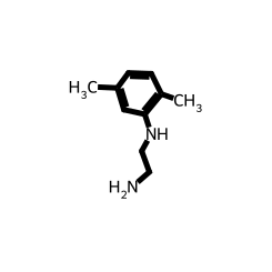 Cc1ccc(C)c(NCCN)c1